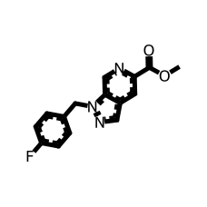 COC(=O)c1cc2cnn(Cc3ccc(F)cc3)c2cn1